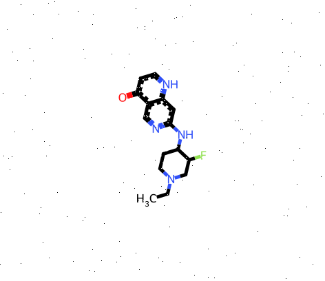 CCN1CCC(Nc2cc3[nH]ccc(=O)c3cn2)C(F)C1